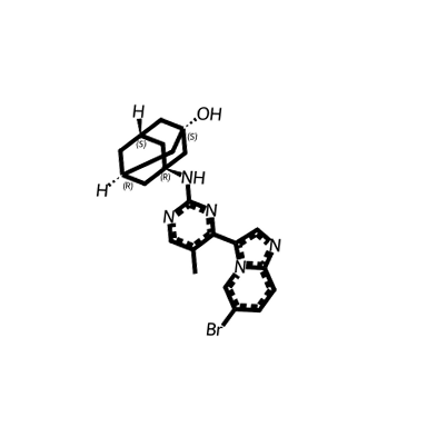 Cc1cnc(N[C@@]23C[C@@H]4C[C@@H](C[C@@](O)(C4)C2)C3)nc1-c1cnc2ccc(Br)cn12